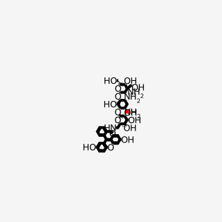 NC1CC(N)C(O[C@H]2OC(CNC(=O)c3ccccc3C3=C4C=CC(O)C=C4Oc4ccc(O)cc43)[C@@H](O)C(O)C2O)[C@H](O)C1OC1CC(N)(CO)C(O)[C@@H](CO)O1